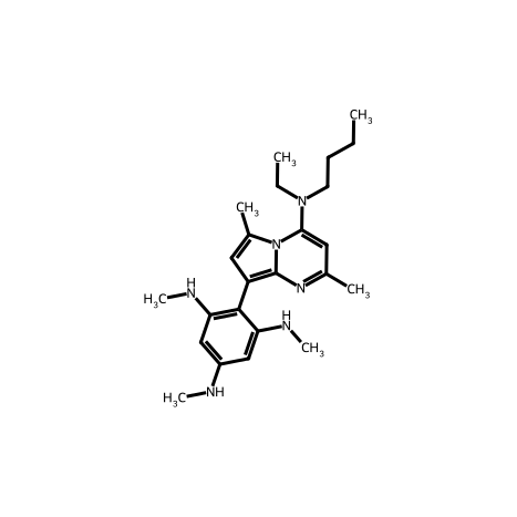 CCCCN(CC)c1cc(C)nc2c(-c3c(NC)cc(NC)cc3NC)cc(C)n12